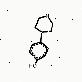 Oc1ccc(C2CC[N]CC2)cc1